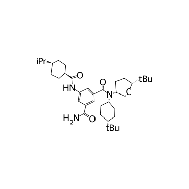 CC(C)[C@H]1CC[C@@H](C(=O)Nc2cc(C(N)=O)cc(C(=O)N([C@H]3CC[C@@H](C(C)(C)C)CC3)[C@H]3CC[C@@H](C(C)(C)C)CC3)c2)CC1